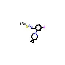 CC(C)(C)S/N=C/c1ccc(I)cc1N1CCC2(CC1)CC2